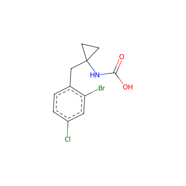 O=C(O)NC1(Cc2ccc(Cl)cc2Br)CC1